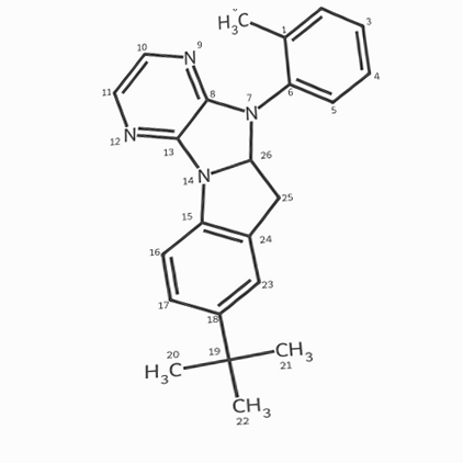 Cc1ccccc1N1c2nccnc2N2c3ccc(C(C)(C)C)cc3CC12